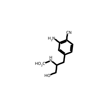 N#Cc1ccc(CC(CO)NC(=O)O)cc1N